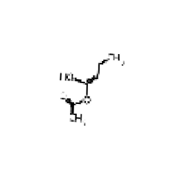 CC/C=C(\O)OC(C)=O